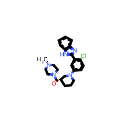 CN1CCN(C(=O)[C@H]2CCCN(c3ccc(Cl)c(-c4nc5ccccc5[nH]4)c3)C2)CC1